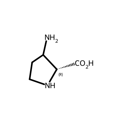 NC1CCN[C@H]1C(=O)O